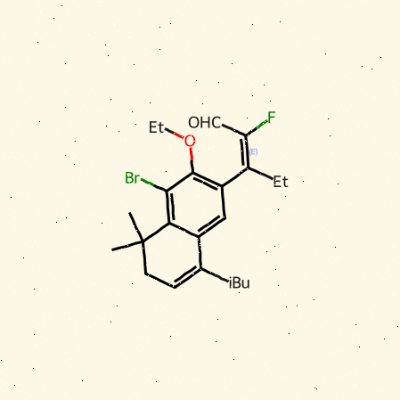 CCOc1c(/C(CC)=C(/F)C=O)cc2c(c1Br)C(C)(C)CC=C2C(C)CC